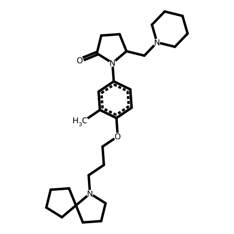 Cc1cc(N2C(=O)CCC2CN2CCCCC2)ccc1OCCCN1CCCC12CCCC2